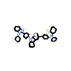 c1ccc(N2c3ccccc3Sc3cc(-c4ccc5c(c4)c4ccccc4n5-c4ccc(-c5nc6ccccc6n5-c5ccccc5)cc4)ccc32)cc1